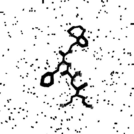 NCCN(CCN)C(=O)C[C@H](N)C(=O)N[C@@H](CCc1ccccc1)C(=O)NCc1cccc2c1OCCCO2